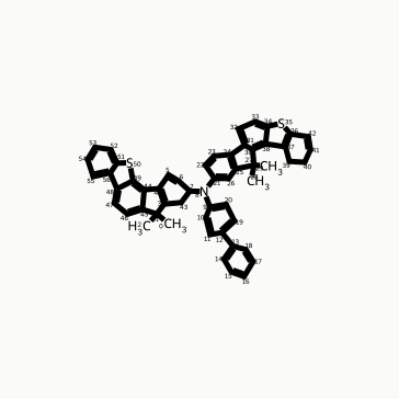 CC1(C)C2=C(C=CC(N(c3ccc(-c4ccccc4)cc3)c3ccc4c(c3)C(C)(C)c3c-4ccc4sc5c(c34)CCC=C5)C2)c2c1ccc1c2sc2ccccc21